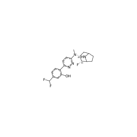 CN(c1ccc(-c2ccc(C(F)F)cc2O)nn1)[C@@H]1CC2CCC(N2)[C@@H]1F